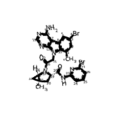 Cc1cc(Br)cc2c3c(N)ncnc3n(CC(=O)N3[C@H](C(=O)Nc4cccc(Br)n4)C[C@@]4(C)C[C@@H]34)c12